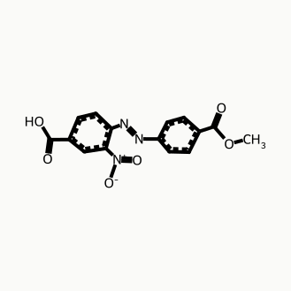 COC(=O)c1ccc(/N=N/c2ccc(C(=O)O)cc2[N+](=O)[O-])cc1